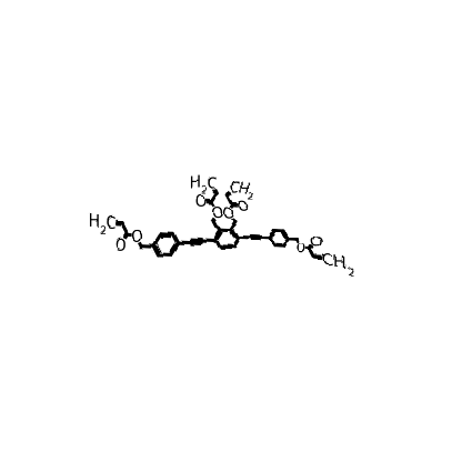 C=CC(=O)OCc1ccc(C#Cc2ccc(C#Cc3ccc(COC(=O)C=C)cc3)c(COC(=O)C=C)c2COC(=O)C=C)cc1